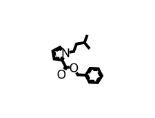 CC(C)CCn1cccc1C(=O)OCc1ccccc1